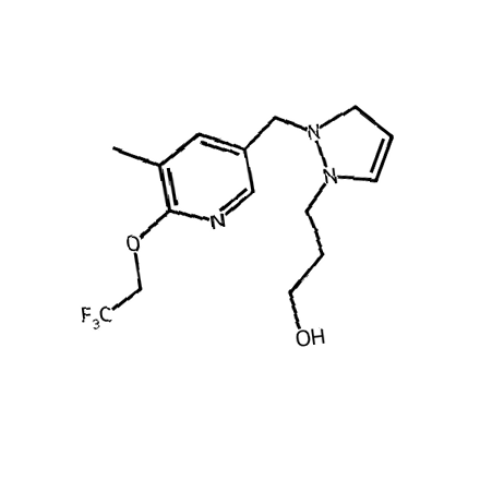 Cc1cc(CN2CC=CN2CCCO)cnc1OCC(F)(F)F